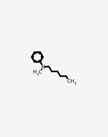 CCCCCCN(C)c1[c]cccc1